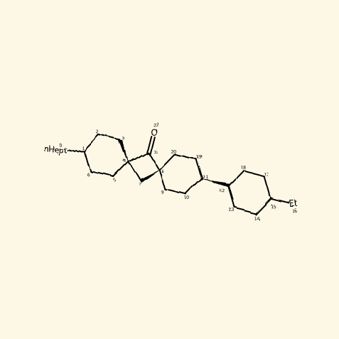 CCCCCCCC1CC[C@]2(CC1)C[C@@]1(CC[C@H](C3CCC(CC)CC3)CC1)C2=O